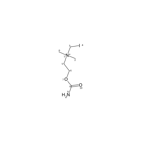 C[N+](C)(CI)CCOC(N)=O